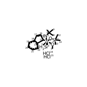 C[O][Zr]([CH3])(=[SiH2])([NH]C(C)(C)C)([O][Si](C)(C)C)[CH]1C=Cc2ccccc21.Cl.Cl